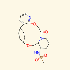 CS(=O)(=O)N[C@H]1CCCN2C(=O)COc3ncccc3C3CCC(CC3)OCC12